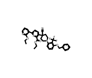 CCOC(=O)c1nc(-c2cccnc2OCC)ccc1C1(C#N)CCN(c2cccc(OCc3ccccc3)c2C(F)(F)F)CC1